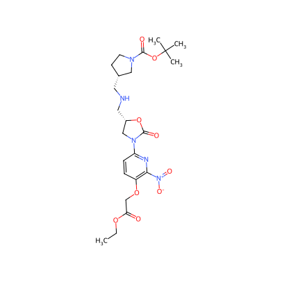 CCOC(=O)COc1ccc(N2C[C@H](CNC[C@@H]3CCN(C(=O)OC(C)(C)C)C3)OC2=O)nc1[N+](=O)[O-]